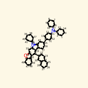 c1ccc(N(c2ccccc2)c2ccc(-c3ccc4c5c(-c6ccc7ccccc7c6)c6c(cc5n(-c5ccccc5)c4c3)oc3ccccc36)cc2)cc1